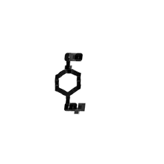 O=CN1CCC(C(=O)O)CC1